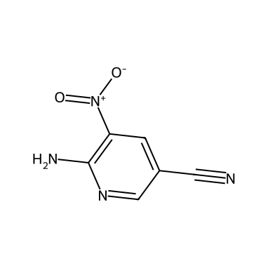 N#Cc1cnc(N)c([N+](=O)[O-])c1